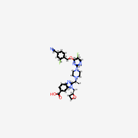 C[C@@H](c1nc2ccc(C(=O)O)cc2n1C[C@@H]1CCO1)N1CCN(c2ncc(F)c(OCc3ccc(C#N)cc3F)n2)CC1